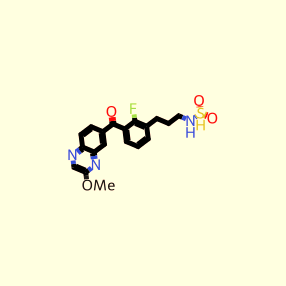 COc1cnc2ccc(C(=O)c3cccc(CCCN[SH](=O)=O)c3F)cc2n1